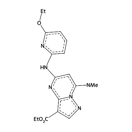 CCOC(=O)c1cnn2c(NC)cc(Nc3cccc(OCC)n3)nc12